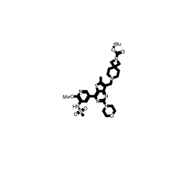 COc1ncc(-c2nc(N3CCOCC3)nc3c(CN4CCC5(CC4)CN(C(=O)OC(C)(C)C)C5)c(C)sc23)cc1NS(C)(=O)=O